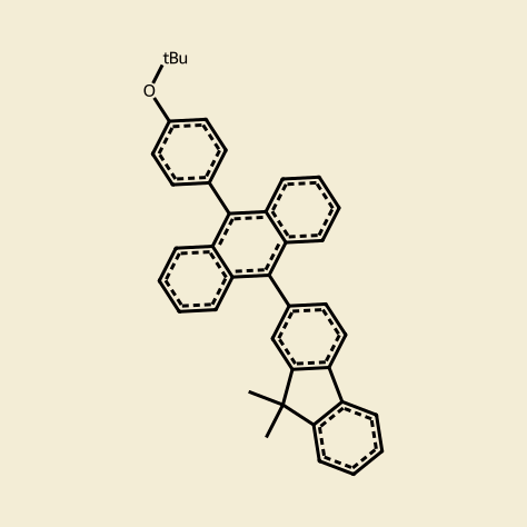 CC(C)(C)Oc1ccc(-c2c3ccccc3c(-c3ccc4c(c3)C(C)(C)c3ccccc3-4)c3ccccc23)cc1